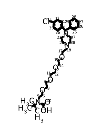 CC(C)(C)N(CCOCCOCCOCCOCCN1CCN(C(c2ccccc2)c2ccc(Cl)cc2)CC1)C(=O)O